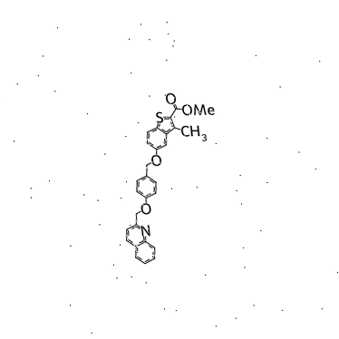 COC(=O)c1sc2ccc(OCc3ccc(OCc4ccc5ccccc5n4)cc3)cc2c1C